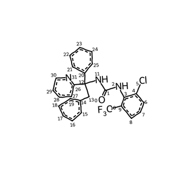 O=C(Nc1c(Cl)cccc1C(F)(F)F)NC(Cc1ccccc1)(c1ccccc1)c1ccccn1